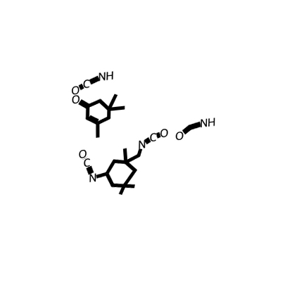 CC1(C)CC(N=C=O)CC(C)(CN=C=O)C1.CC1=CC(=O)CC(C)(C)C1.N=C=O.N=C=O